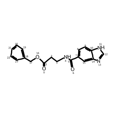 O=C(CCNC(=O)c1ccc2[nH]cnc2c1)OCc1ccccc1